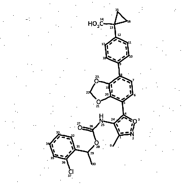 Cc1noc(-c2ccc(-c3ccc(C4(C(=O)O)CC4)cc3)c3c2OCO3)c1NC(=O)OC(C)c1ccccc1Cl